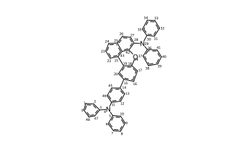 c1ccc(N(c2ccccc2)c2ccc(-c3ccc4c(c3)-c3cccc5ccc(N(c6ccccc6)c6ccccc6)c(c35)O4)cc2)cc1